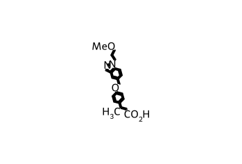 COCCCn1ncc2cc(COc3ccc(C(C)CC(=O)O)cc3)ccc21